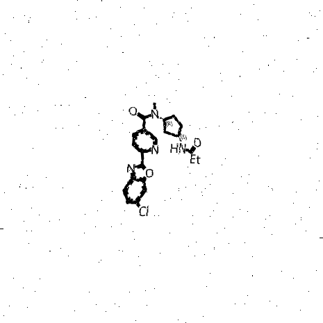 CCC(=O)N[C@H]1CC[C@@H](N(C)C(=O)c2ccc(-c3nc4ccc(Cl)cc4o3)nc2)C1